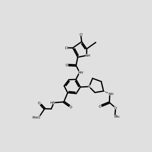 COC(=O)CNC(=O)c1ccc(NC(=O)c2[nH]c(C)c(Cl)c2Cl)c(N2CC[C@H](NC(=O)OC(C)(C)C)C2)c1